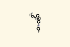 O=S(=O)(c1ccc(/C=C/c2ccc(F)cc2)cc1)c1ccccc1CN1CCC(F)(F)C1